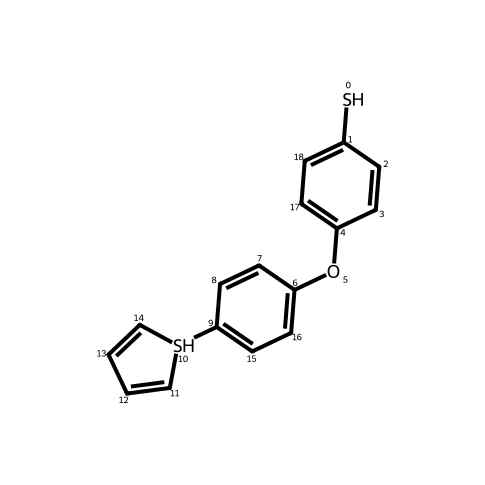 Sc1ccc(Oc2ccc([SH]3C=CC=C3)cc2)cc1